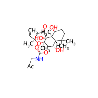 C=C[C@@]1(C)CC(=O)[C@]2(O)[C@@]3(C)[C@@H](O)CCC(C)(C)[C@@H]3[C@H](O)[C@H](OC(=O)NCC(C)=O)[C@@]2(C)O1